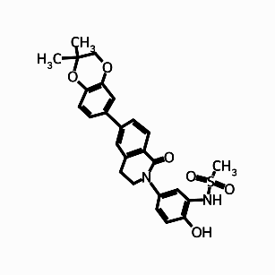 CC1(C)COc2cc(-c3ccc4c(c3)CCN(c3ccc(O)c(NS(C)(=O)=O)c3)C4=O)ccc2O1